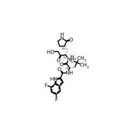 CC(C)(C)C[C@H](NC(=O)c1cc2cc(F)cc(F)c2[nH]1)C(=O)N[C@@H](C[C@@H]1CCNC1=O)C(=O)CO